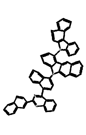 c1ccc2cc(-c3nc(-c4ccc(-n5c6cc7ccccc7cc6c6c(-n7c8ccccc8c8c9ccccc9ccc87)cccc65)c5ccccc45)c4ccccc4n3)ccc2c1